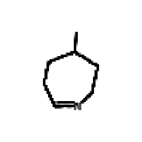 CC1CCC=NCC1